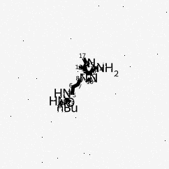 CCCCNC(=O)NCCCCn1cnc2c(N)nc(C)c(C)c21